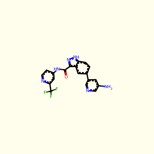 Nc1cncc(-c2ccc3[nH]nc(C(=O)Nc4ccnc(C(F)(F)F)c4)c3c2)c1